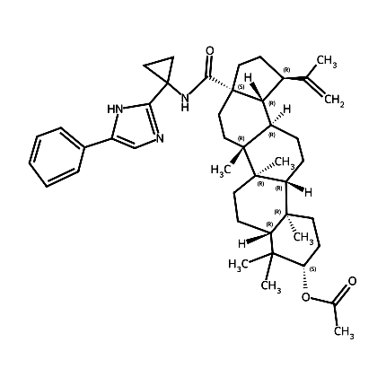 C=C(C)[C@@H]1CC[C@]2(C(=O)NC3(c4ncc(-c5ccccc5)[nH]4)CC3)CC[C@]3(C)[C@H](CC[C@@H]4[C@@]5(C)CC[C@H](OC(C)=O)C(C)(C)[C@@H]5CC[C@]43C)[C@@H]12